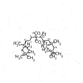 CCOC(=O)C(CCC[Si](C)(C)C[Si](C)(C)C)(CCC[Si](C)(C)C[Si](C)(C)C)C(=O)OCC